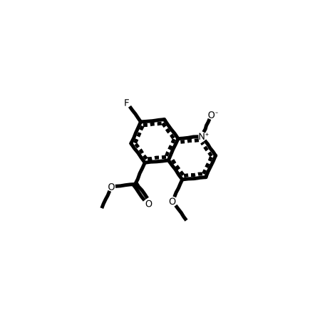 COC(=O)c1cc(F)cc2c1c(OC)cc[n+]2[O-]